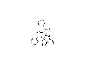 O=C(c1ccccc1)C(O)[C@@H]1OC(OF)[C@@H](O)[C@]1(O)C(=O)c1ccccc1